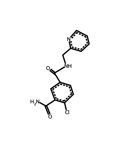 NC(=O)c1cc(C(=O)NCc2ccccn2)ccc1Cl